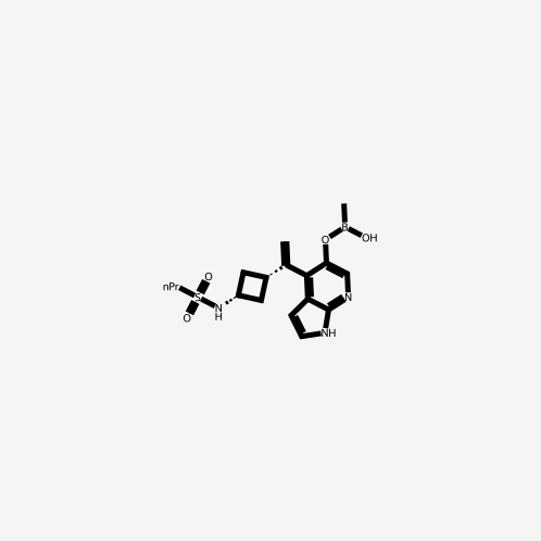 C=C(c1c(OB(C)O)cnc2[nH]ccc12)[C@H]1C[C@@H](NS(=O)(=O)CCC)C1